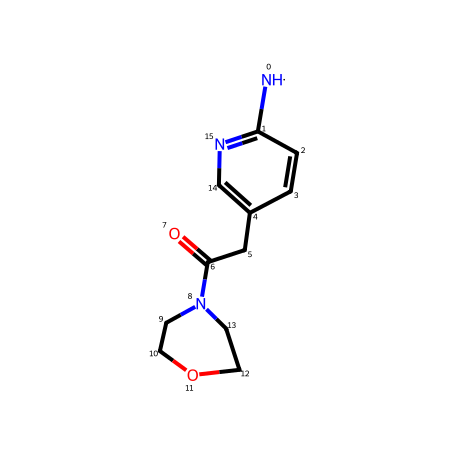 [NH]c1ccc(CC(=O)N2CCOCC2)cn1